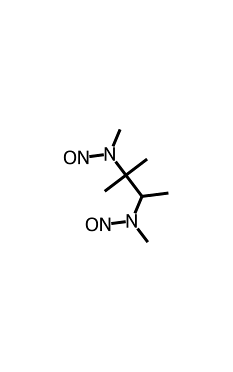 CC(N(C)N=O)C(C)(C)N(C)N=O